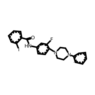 O=C(Nc1ccc(N2CCN(c3[c]cccc3)CC2)c(F)c1)c1ccccc1I